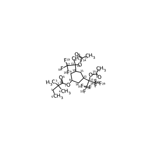 CCC(C)(C)C(=O)OC1CC(C(C)(OC(C)=O)C(F)(F)F)CC(C(OC(C)=O)(C(F)(F)F)C(F)(F)F)C1